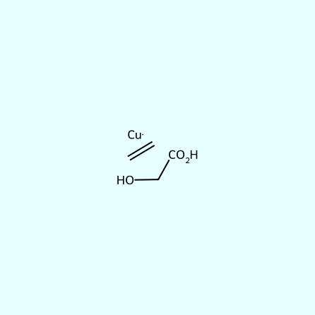 C=C.O=C(O)CO.[Cu]